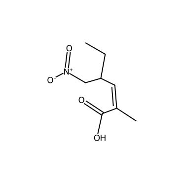 CCC(C=C(C)C(=O)O)C[N+](=O)[O-]